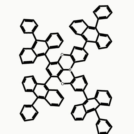 c1ccc(-c2c3ccccc3c(-c3ccc4c(c3)Oc3c(-c5c6ccccc6c(-c6ccccc6)c6ccccc56)cc(-c5c6ccccc6c(-c6ccccc6)c6ccccc56)c5c3B4c3ccc(-c4c6ccccc6c(-c6ccccc6)c6ccccc46)cc3O5)c3ccccc23)cc1